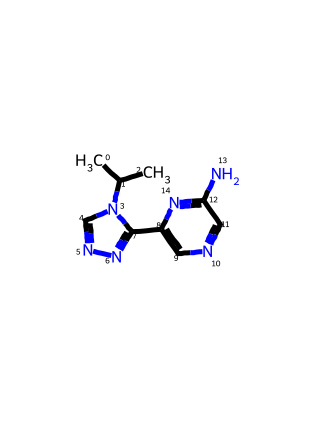 CC(C)n1cnnc1-c1cncc(N)n1